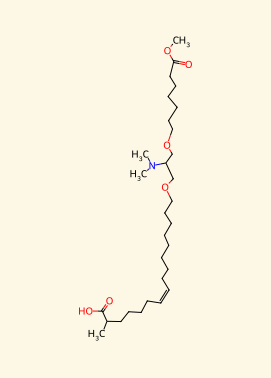 COC(=O)CCCCCCOCC(COCCCCCCCC/C=C\CCCCC(C)C(=O)O)N(C)C